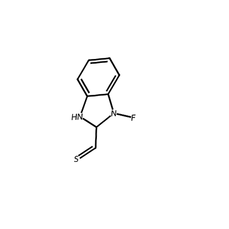 FN1c2ccccc2NC1C=S